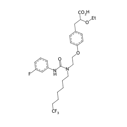 CCOC(Cc1ccc(OCCN(CCCCCCC(F)(F)F)C(=O)Nc2cccc(F)c2)cc1)C(=O)O